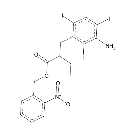 CCC(Cc1c(I)cc(I)c(N)c1I)C(=O)OCc1ccccc1[N+](=O)[O-]